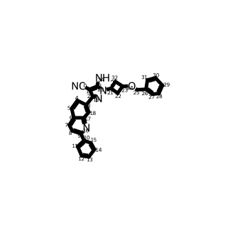 N#Cc1c(-c2ccc3ccc(-c4ccccc4)nc3c2)nn(C2CC(OCc3ccccc3)C2)c1N